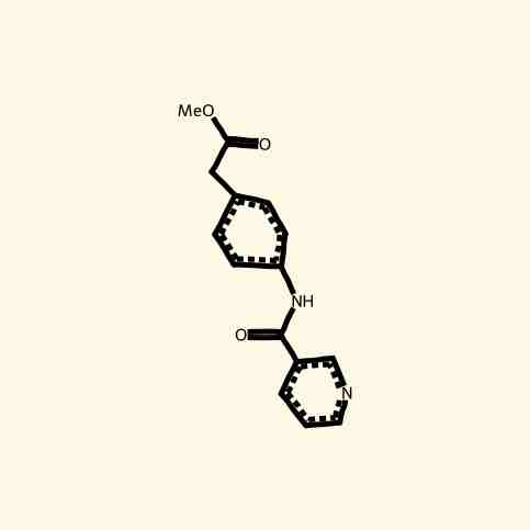 COC(=O)Cc1ccc(NC(=O)c2cccnc2)cc1